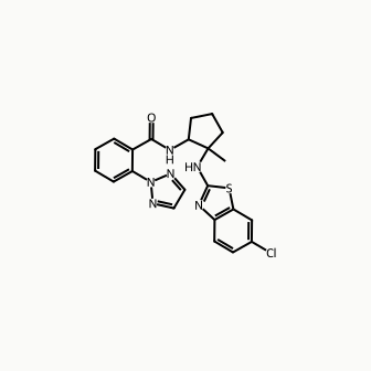 CC1(Nc2nc3ccc(Cl)cc3s2)CCCC1NC(=O)c1ccccc1-n1nccn1